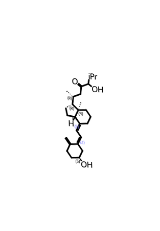 C=C1CC[C@H](O)C/C1=C/C=C1\CCC[C@]2(C)[C@@H]([C@H](C)CC(=O)C(O)C(C)C)CC[C@@H]12